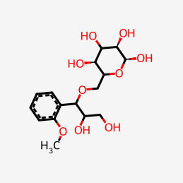 COc1ccccc1C(OCC1O[C@H](O)[C@H](O)C(O)[C@@H]1O)C(O)CO